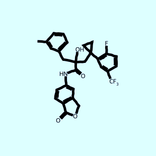 Cc1cccc(CC(O)(CC2(c3cc(C(F)(F)F)ccc3F)CC2)C(=O)Nc2ccc3c(c2)COC3=O)c1